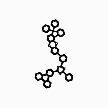 c1ccc(-c2nc(-c3cccc(-c4ccc5c(c4)Oc4c(ccc6c4-c4ccccc4C6(c4ccccc4)c4ccccc4)O5)c3)nc(-c3ccc4c5ccccc5c5ccccc5c4c3)n2)cc1